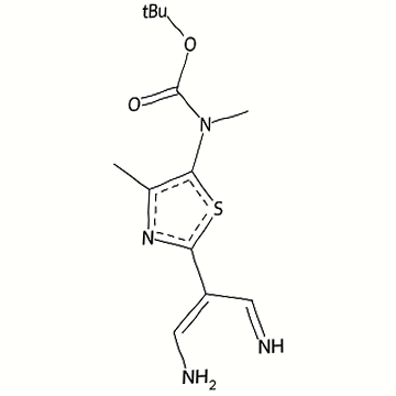 Cc1nc(/C(C=N)=C/N)sc1N(C)C(=O)OC(C)(C)C